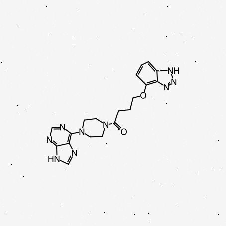 O=C(CCCOc1cccc2[nH]nnc12)N1CCN(c2ncnc3[nH]cnc23)CC1